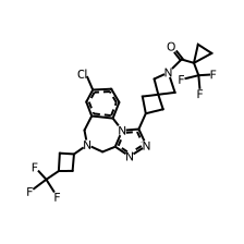 O=C(N1CC2(CC(c3nnc4n3-c3ccc(Cl)cc3CN(C3CC(C(F)(F)F)C3)C4)C2)C1)C1(C(F)(F)F)CC1